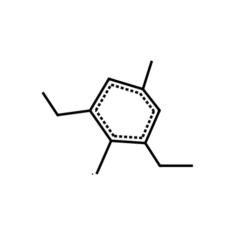 [CH2]c1c(CC)cc(C)cc1CC